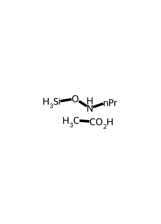 CC(=O)O.CCCNO[SiH3]